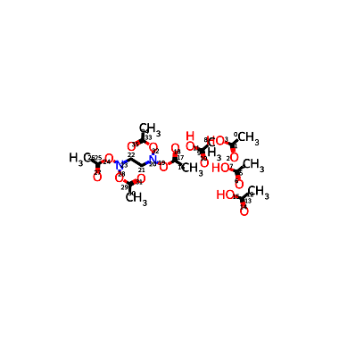 CC(=O)O.CC(=O)O.CC(=O)O.CC(=O)O.CC(=O)ON(CCN(OC(C)=O)OC(C)=O)OC(C)=O